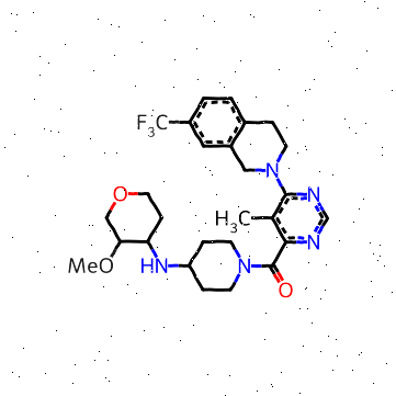 COC1COCCC1NC1CCN(C(=O)c2ncnc(N3CCc4ccc(C(F)(F)F)cc4C3)c2C)CC1